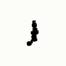 O=c1c2sc(-c3ccc(Cl)cc3)cc2ncn1-c1ccc2c(c1)ncn2CCN1CCCC1